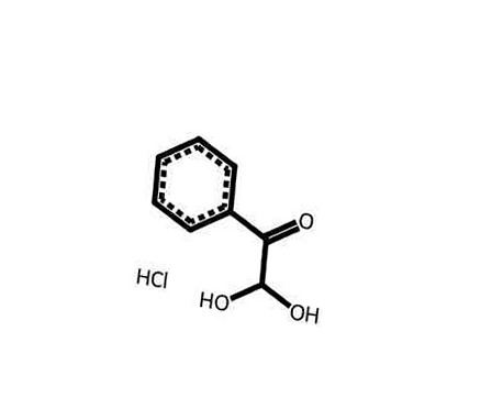 Cl.O=C(c1ccccc1)C(O)O